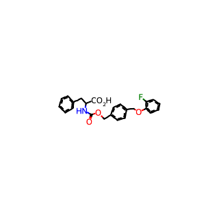 O=C(NC(Cc1ccccc1)C(=O)O)OCc1ccc(COc2ccccc2F)cc1